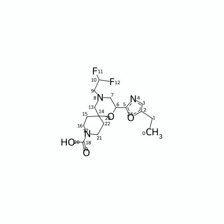 CCc1cnc(C2CN(CC(F)F)CC3(CCN(C(=O)O)CC3)O2)o1